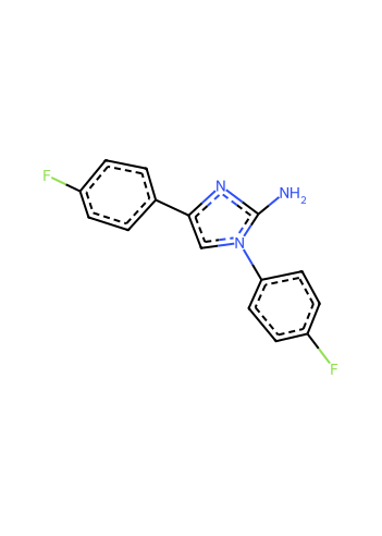 Nc1nc(-c2ccc(F)cc2)cn1-c1ccc(F)cc1